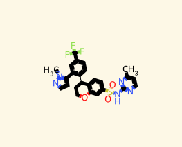 Cc1ccnc(NS(=O)(=O)c2ccc3c(c2)OCC[C@@H]3c2ccc(C(F)(F)F)cc2-c2ccnn2C)n1